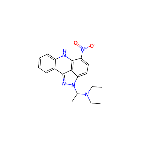 CCN(CC)C(C)n1nc2c3c(c([N+](=O)[O-])ccc31)Nc1ccccc1-2